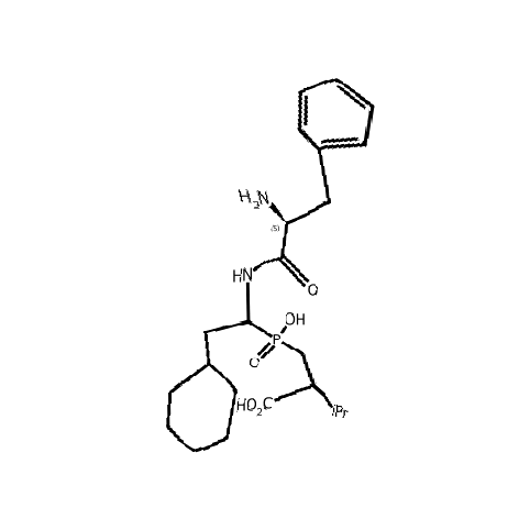 CC(C)C(CP(=O)(O)C(CC1CCCCC1)NC(=O)[C@@H](N)Cc1ccccc1)C(=O)O